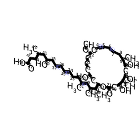 CO[C@@H]1C/C=C\C=C\C[C@H](C)[C@@H](O)C[C@@H](O)[C@H](C)[C@H](O)CC(=O)O[C@H]([C@H](C)[C@H](C)/C=C(\C)CC/C=C/C=C/CC(O)CC(C)CCC(=O)O)C[C@H](O)CCC1